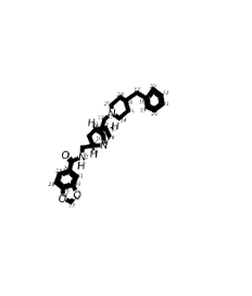 O=C(NC[C@H]1C[C@@H]2CC[N@@]1C[C@@H]2CN1CCC(Cc2ccccc2)CC1)c1ccc2c(c1)OCO2